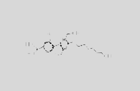 CCCCCCCOc1nc(CC)c(-c2ccc(C(C)C)cc2OC)nc1CC